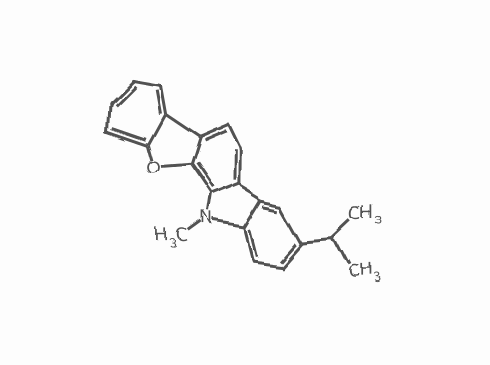 CC(C)c1ccc2c(c1)c1ccc3c4ccccc4oc3c1n2C